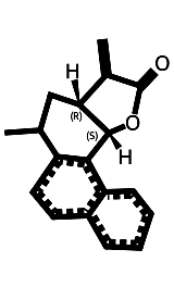 C=C1C(=O)O[C@@H]2c3c(ccc4ccccc34)C(C)C[C@H]12